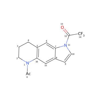 CC(=O)N1CCCc2cc3c(ccn3C(=O)C(F)(F)F)cc21